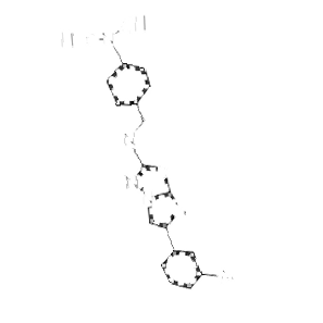 CC(=O)c1cccc(-c2cn3nc(NCc4ccc(N(C)C)cc4)sc3n2)c1